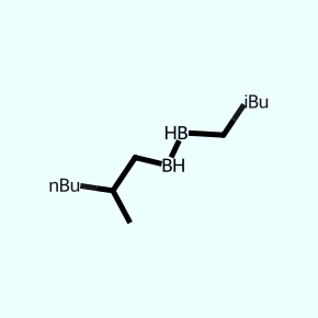 CCCCC(C)CBBCC(C)CC